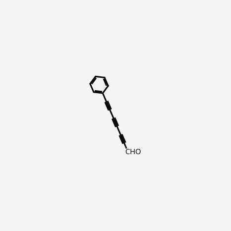 O=CC#CC#CC#Cc1ccccc1